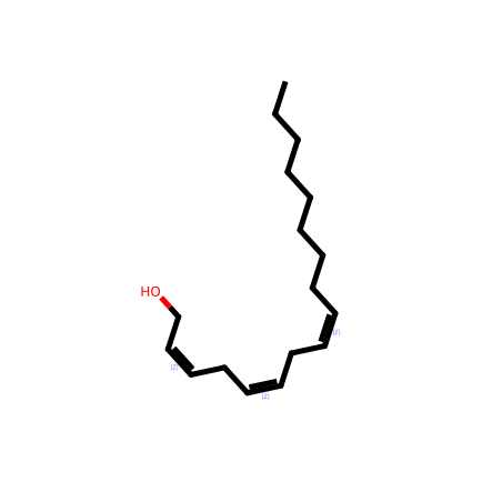 CCCCCCCC/C=C\C/C=C\C/C=C\CO